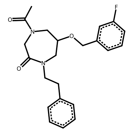 CC(=O)N1CC(=O)N(CCc2ccccc2)CC(OCc2cccc(F)c2)C1